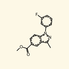 COC(=O)c1ccc2c(c1)c(C)nn2-c1cccc(F)c1